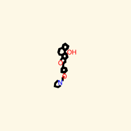 Oc1cc2c(c3c1-c1ccccc1C=CC3)COC(c1ccc(OCCN3CCCCC3)cc1)=C2